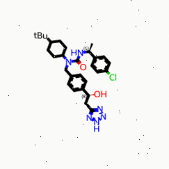 C[C@H](NC(=O)N(Cc1ccc([C@H](O)Cc2nn[nH]n2)cc1)C1CCC(C(C)(C)C)CC1)c1ccc(Cl)cc1